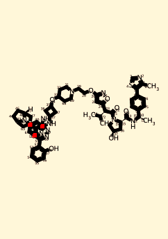 Cc1ncsc1-c1ccc([C@H](C)NC(=O)[C@@H]2C[C@@H](O)CN2C(=O)[C@@H](c2cc(OCCN3CCC(OC4CC(Nc5cc(N6C7CC[C@@H]6CN(c6cc(-c8ccccc8O)nnc6N)C7)ccn5)C4)CC3)no2)C(C)C)cc1